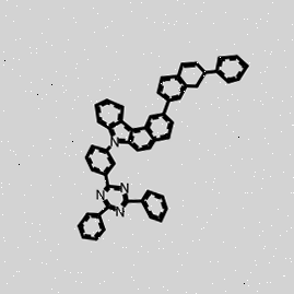 C1=CC(c2ccccc2)Cc2cc(-c3ccc4ccc5c(c4c3)c3ccccc3n5-c3cccc(-c4nc(-c5ccccc5)nc(-c5ccccc5)n4)c3)ccc21